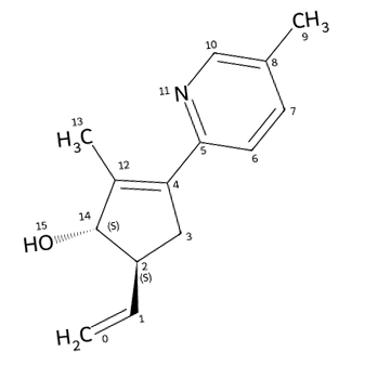 C=C[C@@H]1CC(c2ccc(C)cn2)=C(C)[C@H]1O